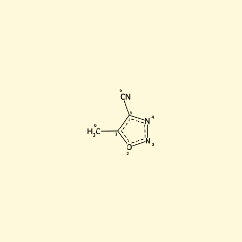 Cc1onnc1C#N